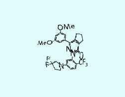 COc1cc(OC)cc(-c2nn(-c3cc(N4CCC(F)(F)C4)ccc3C(F)(F)F)c(=O)c3c2CCC3)c1